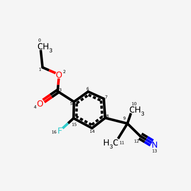 CCOC(=O)c1ccc(C(C)(C)C#N)cc1F